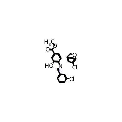 COC(=O)c1ccc(/N=C/c2cccc(Cl)c2)c(O)c1.Clc1cc2ccc1OC2